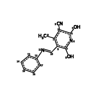 Cc1c(C#N)c(O)nc(O)c1C=Nc1ccccc1